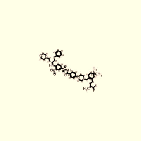 C=C(CCC1=C(CN2CCN(c3ccc(C(=O)NS(=O)(=O)c4ccc(N[C@H](CCN5CCOCC5)CSc5ccccc5)c([N+](=O)[O-])c4)cc3)CC2)CCC(C)(C)C1)C(F)F